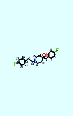 OC1(Cc2ccc(F)cc2)CCN(CCc2ccc(F)cc2)CC1